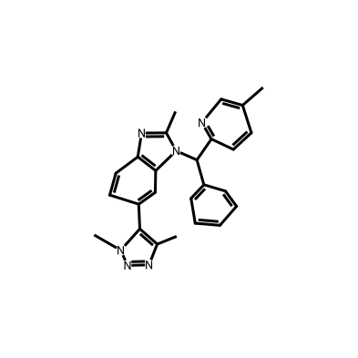 Cc1ccc(C(c2ccccc2)n2c(C)nc3ccc(-c4c(C)nnn4C)cc32)nc1